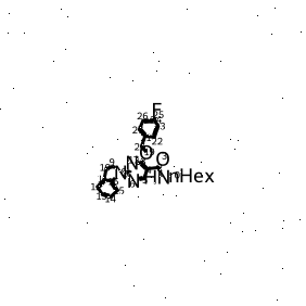 CCCCCCNC(=O)c1cnc(N2CCc3ccccc32)nc1OCc1ccc(F)cc1